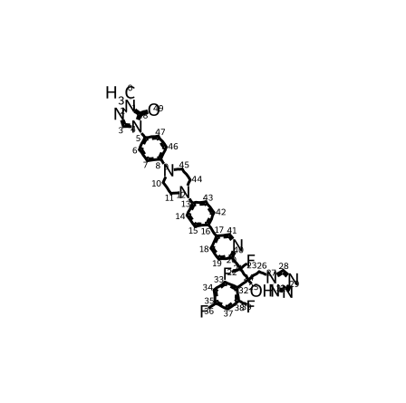 Cn1ncn(-c2ccc(N3CCN(c4ccc(-c5ccc(C(F)(F)C(O)(Cn6cnnn6)c6ccc(F)cc6F)nc5)cc4)CC3)cc2)c1=O